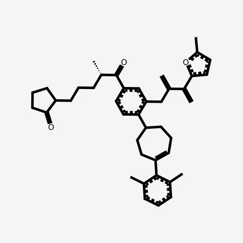 C=C(Cc1cc(C(=O)[C@@H](C)CCCC2CCCC2=O)ccc1C1CCC=C(c2c(C)cccc2C)CC1)C(=C)c1ccc(C)o1